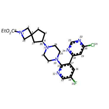 CCOC(=O)N1CC2(CC[C@@H](N3CCN(c4ncc(F)cc4-c4cc(Cl)ncn4)CC3)C2)C1